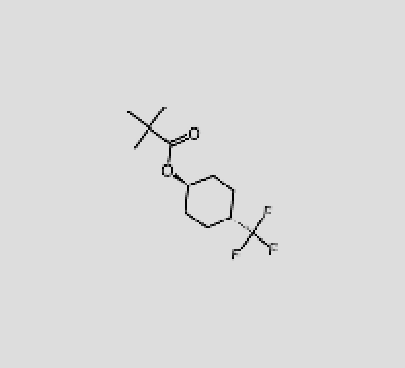 CC(C)(C)C(=O)O[C@H]1CC[C@H](C(F)(F)F)CC1